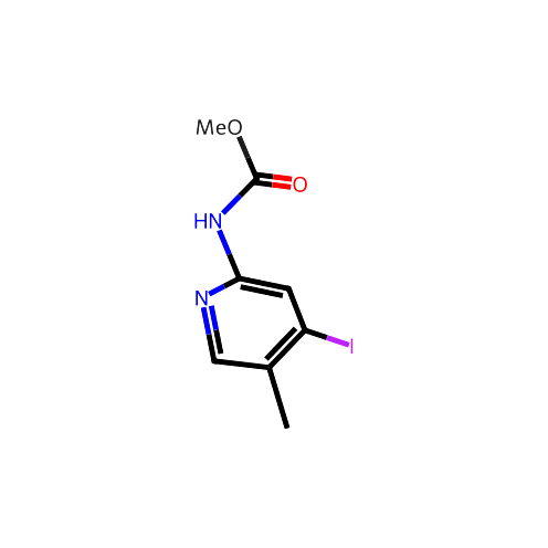 COC(=O)Nc1cc(I)c(C)cn1